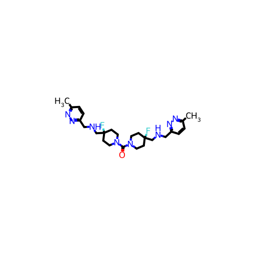 Cc1ccc(CNCC2(F)CCN(C(=O)N3CCC(F)(CNCc4ccc(C)nn4)CC3)CC2)nn1